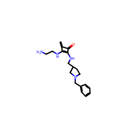 C=C1C(=O)C(NCC2CCN(Cc3ccccc3)C2)=C1NCCN